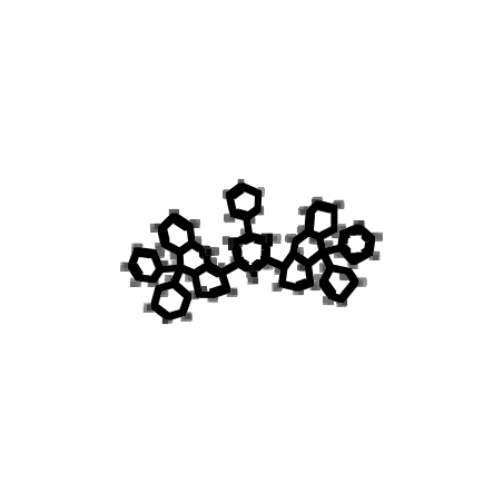 C1=CCCC(c2nc(C3=C4OC5C=CC=CC5C(C5C=CC=CC5)(C5CCCCC5)C4CC=C3)nc(C3CC=CC4C3CC3=CC=CCC3C4(c3ccccc3)C3C=CCCC3)n2)=C1